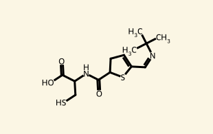 CC(C)(C)/N=C\C1=CCC(C(=O)NC(CS)C(=O)O)S1